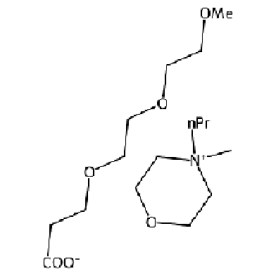 CCC[N+]1(C)CCOCC1.COCCOCCOCCC(=O)[O-]